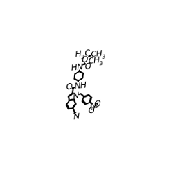 CC(C)(C)OC(=O)NC1CCC(NC(=O)c2cc3ccc(C#N)cc3n2Cc2ccc([N+](=O)[O-])cc2)CC1